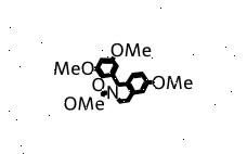 COC(=O)N1CCc2cc(OC)ccc2C1c1cc(OC)cc(OC)c1